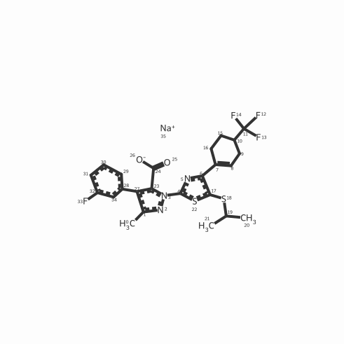 Cc1nn(-c2nc(C3=CCC(C(F)(F)F)CC3)c(SC(C)C)s2)c(C(=O)[O-])c1-c1cccc(F)c1.[Na+]